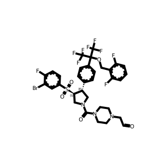 O=CCN1CCN(C(=O)N2C[C@@H](S(=O)(=O)c3ccc(F)c(Br)c3)[C@H](c3ccc(C(OCc4c(F)cccc4F)(C(F)(F)F)C(F)(F)F)cc3)C2)CC1